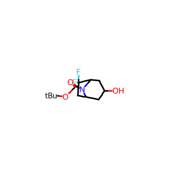 CC(C)(C)OC(=O)N1C2CC(O)CC1C(F)(F)C2